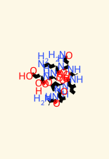 CCC(C)[C@H](NC(=O)[C@@H]1CCCN1C(=O)[C@@H](NC(=O)[C@H](C)N)C(C)C)C(=O)N[C@@H](C)C(=O)N[C@@H](CCC(N)=O)C(=O)N[C@@H](CCCCN)C(=O)N[C@@H](CO)C(=O)N[C@@H](CCC(=O)O)C(=O)O